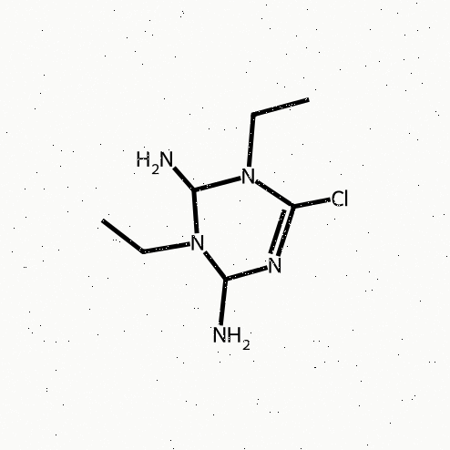 CCN1C(Cl)=NC(N)N(CC)C1N